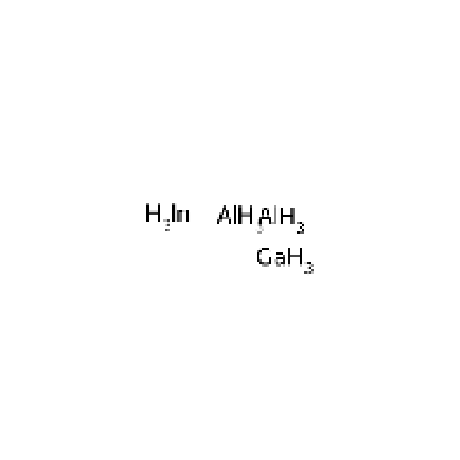 [AlH3].[AlH3].[GaH3].[InH3]